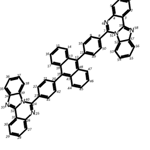 c1ccc2c(c1)nc(-c1ccc(-c3c4ccccc4c(-c4ccc(-c5nc6ccccc6c6nc7ccccc7n56)cc4)c4ccccc34)cc1)n1c3ccccc3nc21